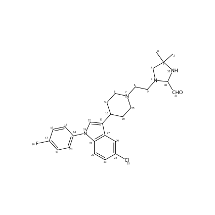 CC1(C)CN(CCN2CCC(c3cn(-c4ccc(F)cc4)c4ccc(Cl)cc34)CC2)C(C=O)N1